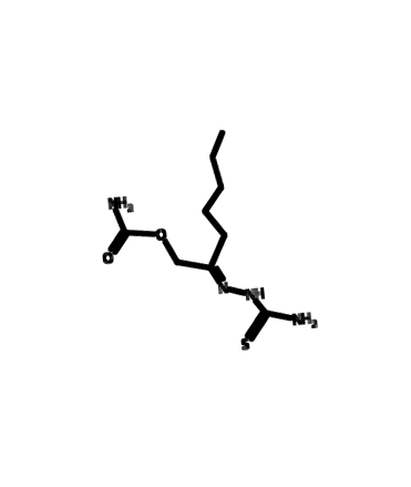 CCCCC/C(COC(N)=O)=N\NC(N)=S